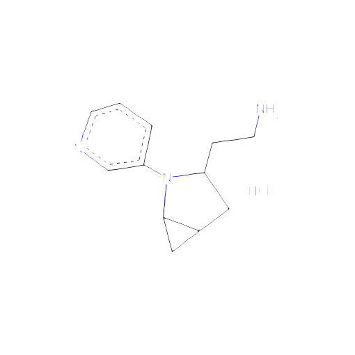 Cl.NCCC1CC2CC2N1c1cccnc1